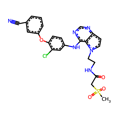 CS(=O)(=O)CC(=O)NCCn1ccc2ncnc(Nc3ccc(Oc4cccc(C#N)c4)c(Cl)c3)c21